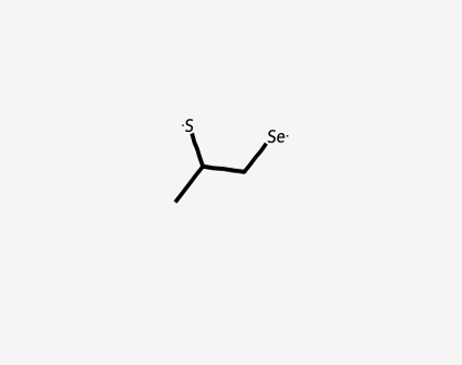 CC([S])C[Se]